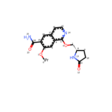 CC(C)Oc1cc2c(OC[C@@H]3CCC(=O)N3)nccc2cc1C(N)=O